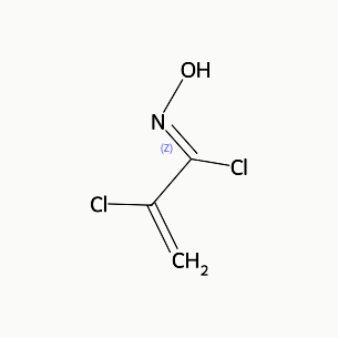 C=C(Cl)/C(Cl)=N/O